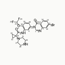 O=C(Nc1cc(-n2cnc3cc(Br)ccc3c2=O)ccc1OC(F)F)C1(N2CCNCC2)CC1